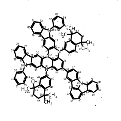 CC1(C)CCC(C)(C)c2cc(N3c4cc5c(cc4B4c6cc7c8ccccc8n(-c8ccccc8)c7cc6N(c6ccc7c(c6)C(C)(C)CCC7(C)C)c6cc(-c7ccc8c(c7)c7cccc9c%10ccccc%10n8c97)cc3c64)c3ccccc3n5-c3ccccc3)ccc21